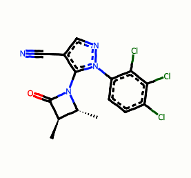 C[C@@H]1[C@@H](C)C(=O)N1c1c(C#N)cnn1-c1ccc(Cl)c(Cl)c1Cl